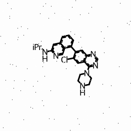 CC(C)Nc1cc2cccc(-c3cc4ncnc(N5CCNCC5)c4cc3Cl)c2cn1